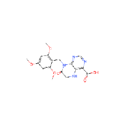 COc1cc(OC)c(CN2C(=O)CNc3c(C(=O)O)ncnc32)c(OC)c1